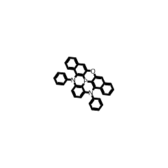 c1ccc(N2c3cccc4c3P3c5c(cc6ccccc6c52)Oc2cc5ccccc5c(c23)N4c2ccccc2)cc1